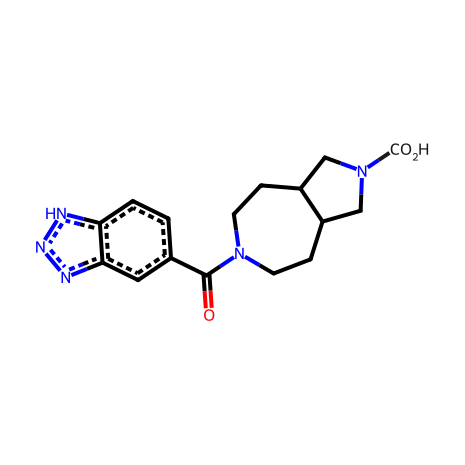 O=C(O)N1CC2CCN(C(=O)c3ccc4[nH]nnc4c3)CCC2C1